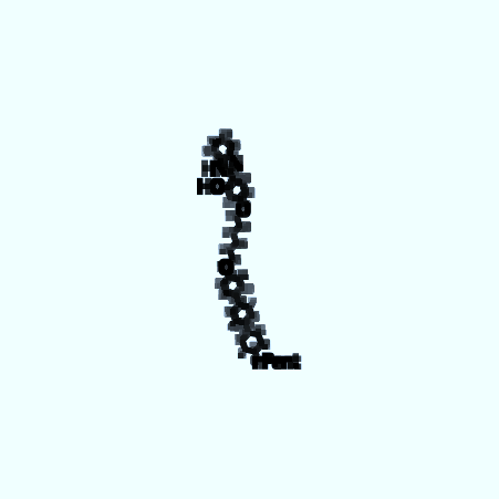 CCCCCC1CCC(c2ccc(-c3ccc(OCCCCCCOc4ccc(-c5nc6ccccc6[nH]5)c(O)c4)cc3)cc2)CC1